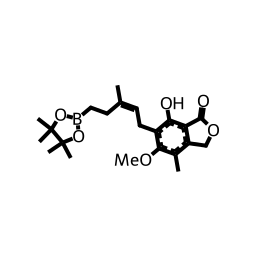 COc1c(C)c2c(c(O)c1CC=C(C)CCB1OC(C)(C)C(C)(C)O1)C(=O)OC2